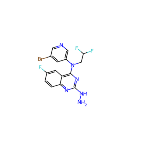 NNc1nc(N(CC(F)F)c2cncc(Br)c2)c2cc(F)ccc2n1